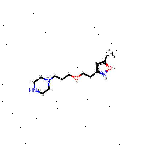 Cc1cc(CCOCCCN2CCNCC2)no1